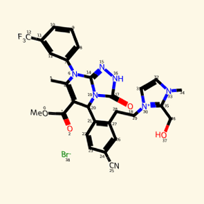 COC(=O)C1=C(C)N(c2cccc(C(F)(F)F)c2)c2n[nH]c(=O)n2C1c1ccc(C#N)cc1CC[n+]1ccn(C)c1CO.[Br-]